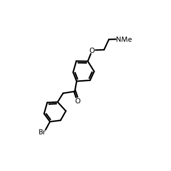 CNCCOc1ccc(C(=O)CC2=CC=C(Br)CC2)cc1